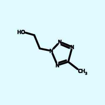 Cc1nnn(CCO)n1